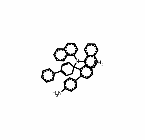 Nc1ccc(-c2ccc(N)cc2C2(N(c3cccc4ccccc34)c3cccc4ccccc34)C=CC(c3ccccc3)=CC2)cc1